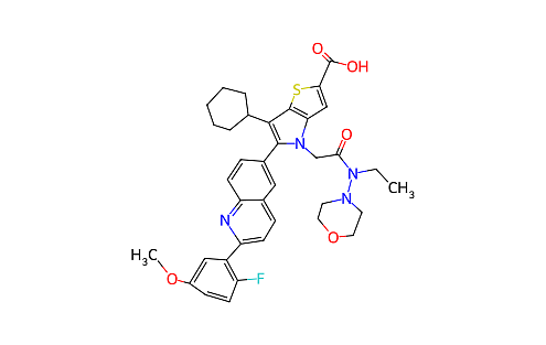 CCN(C(=O)Cn1c(-c2ccc3nc(-c4cc(OC)ccc4F)ccc3c2)c(C2CCCCC2)c2sc(C(=O)O)cc21)N1CCOCC1